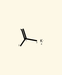 C=C(C)C.[K]